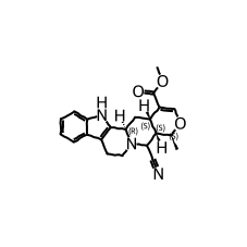 COC(=O)C1=CO[C@@H](C)[C@@H]2C(C#N)N3CCc4c([nH]c5ccccc45)[C@H]3C[C@H]12